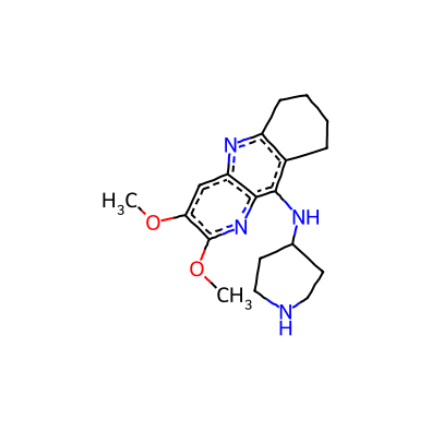 COc1cc2nc3c(c(NC4CCNCC4)c2nc1OC)CCCC3